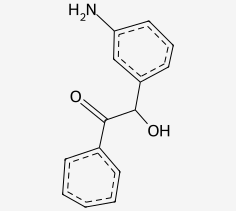 Nc1cccc(C(O)C(=O)c2ccccc2)c1